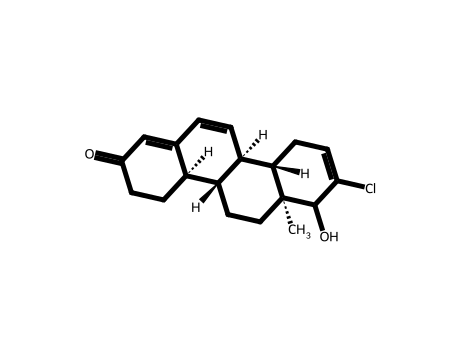 C[C@]12CC[C@H]3[C@@H](C=CC4=CC(=O)CC[C@@H]43)[C@@H]1CC=C(Cl)C2O